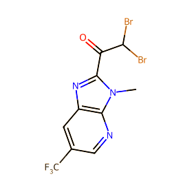 Cn1c(C(=O)C(Br)Br)nc2cc(C(F)(F)F)cnc21